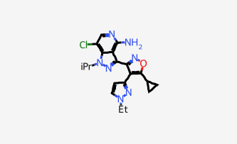 CCn1ccc(-c2c(-c3nn(C(C)C)c4c(Cl)cnc(N)c34)noc2C2CC2)n1